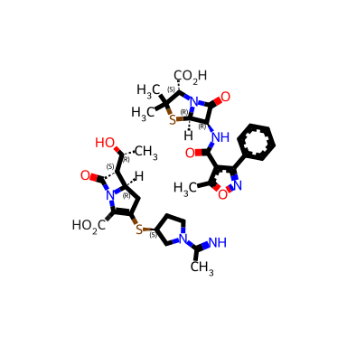 CC(=N)N1CC[C@H](SC2=C(C(=O)O)N3C(=O)[C@H]([C@@H](C)O)[C@H]3C2)C1.Cc1onc(-c2ccccc2)c1C(=O)N[C@@H]1C(=O)N2[C@@H]1SC(C)(C)[C@@H]2C(=O)O